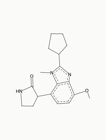 COc1ccc(C2CCNC2=O)c2c1nc(C1CCCC1)n2C